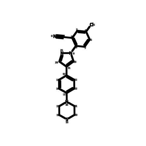 N#Cc1cc(Cl)ccc1-n1cc(-c2ccc(N3CCSCC3)cc2)cn1